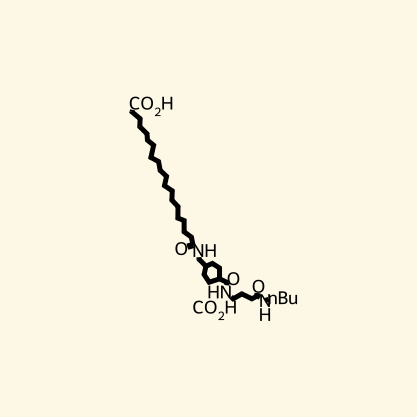 CCCCNC(=O)CC[C@H](NC(=O)C1CCC(CNC(=O)CCCCCCCCCCCCCCCCCCC(=O)O)CC1)C(=O)O